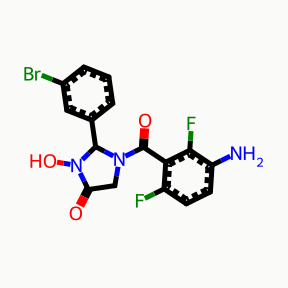 Nc1ccc(F)c(C(=O)N2CC(=O)N(O)C2c2cccc(Br)c2)c1F